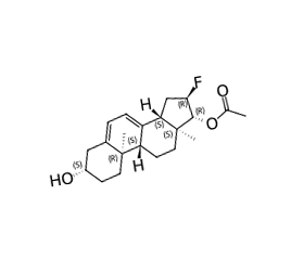 CC(=O)O[C@H]1[C@H](F)C[C@H]2C3=CC=C4C[C@@H](O)CC[C@]4(C)[C@H]3CC[C@@]21C